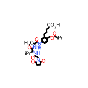 CC(C)C(=O)OCc1ccc(NC(=O)[C@H](C)NC(=O)[C@@H](NC(=O)CN2C(=O)C=CC2=O)C(C)C)cc1CCCCC(=O)O